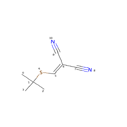 CC(C)(C)SC=C(C#N)C#N